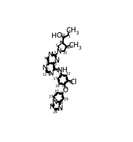 CC[C@@H](O)[C@@H]1CN(c2ncc3ncnc(Nc4ccc(Oc5ccn6ncnc6c5)c(Cl)c4)c3n2)C[C@@H]1C